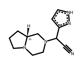 N#CC(c1cc[nH]n1)N1CCN2CCC[C@@H]2C1